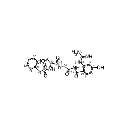 N=C(N)Nc1cc(O)ccc1C(=O)NC(=O)CNC(=O)[C@H](CO)NS(=O)(=O)Cc1ccccc1